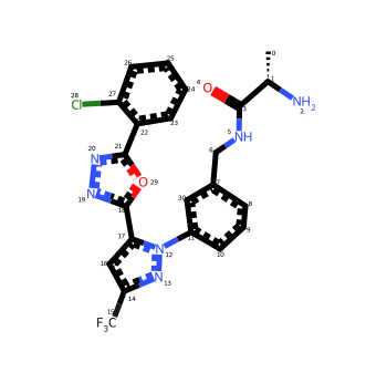 C[C@H](N)C(=O)NCc1cccc(-n2nc(C(F)(F)F)cc2-c2nnc(-c3ccccc3Cl)o2)c1